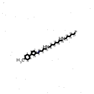 CC1CCC(C2C=CC(/C=C/CCCNCCCCCCCNCCCCCI)C2)CC1